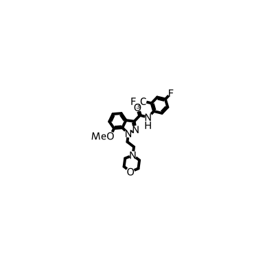 COc1cccc2c(C(=O)Nc3ccc(F)cc3C(F)(F)F)nn(CCN3CCOCC3)c12